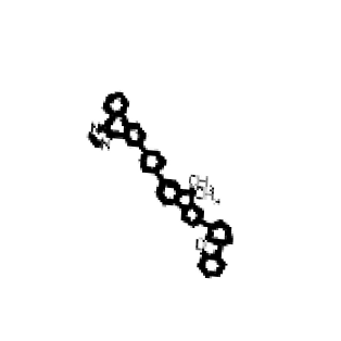 CC1(C)c2cc(-c3ccc(-c4ccc5c6ccccc6c6nccnc6c5c4)cc3)ccc2-c2ccc(-c3cccc4c3oc3ccccc34)cc21